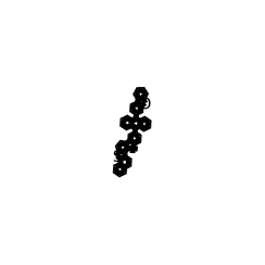 CC1(C)c2ccc(-c3c4ccccc4c(-c4ccc5c(c4)oc4ccccc45)c4ccccc34)cc2-c2ccc3sc4c5ccccc5ccc4c3c21